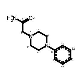 NC(=O)CN1CCN(c2cc[c]cc2)CC1